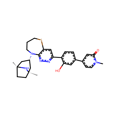 Cn1ccc(-c2ccc(-c3cc4c(nn3)N([C@H]3C[C@]5(C)CC[C@](C)(C3)N5)CCCS4)c(O)c2)cc1=O